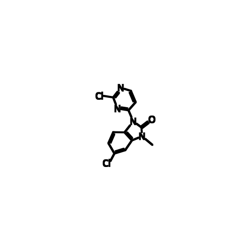 Cn1c(=O)n(-c2ccnc(Cl)n2)c2ccc(Cl)cc21